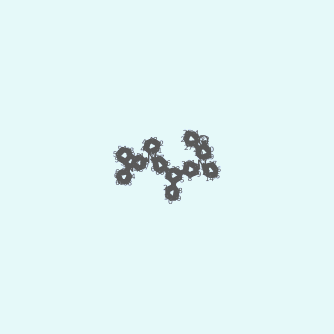 c1ccc(-c2cc(-c3ccc(N(c4ccccc4)c4ccc5oc6ccccc6c5c4)cc3)cc(-c3ccc(N(c4ccccc4)c4ccc5c(c4)c4ccccc4n5-c4ccccc4)cc3)c2)cc1